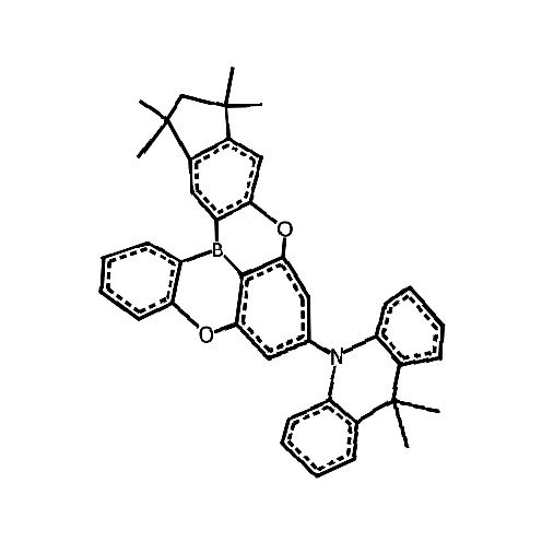 CC1(C)CC(C)(C)c2cc3c(cc21)Oc1cc(N2c4ccccc4C(C)(C)c4ccccc42)cc2c1B3c1ccccc1O2